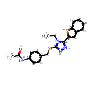 CCn1c(SCc2ccc(NC(C)=O)cc2)nnc1-c1cc2ccccc2s1